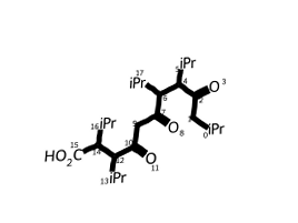 CC(C)CC(=O)C(C(C)C)C(C(=O)CC(=O)C(C(C)C)C(C(=O)O)C(C)C)C(C)C